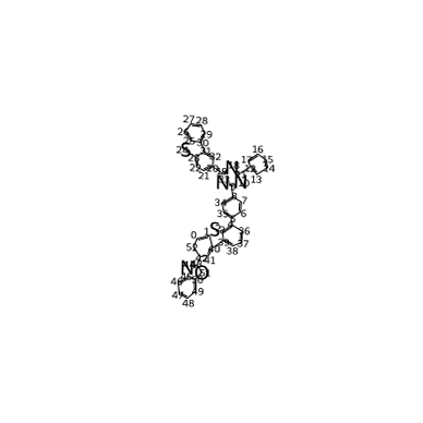 C1=c2sc3c(-c4ccc(-c5nc(-c6ccccc6)nc(-c6ccc7sc8ccccc8c7c6)n5)cc4)cccc3c2=CC(c2nc3ccccc3o2)C1